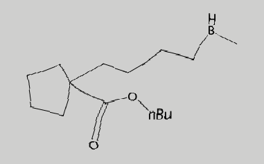 CBCCCCC1(C(=O)OCCCC)CCCC1